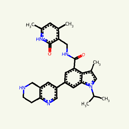 Cc1cc(C)c(CNC(=O)c2cc(-c3cnc4c(c3)CNCC4)cc3c2c(C)cn3C(C)C)c(=O)[nH]1